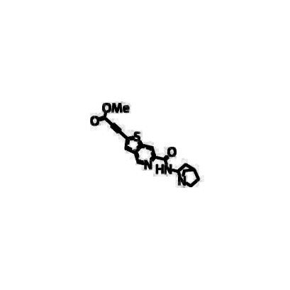 COC(=O)C#Cc1cc2cnc(C(=O)NC3CC4CCN3C4)cc2s1